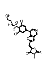 O=C1NC(=S)S/C1=C\c1cc2cncc(-c3cc(Cl)c(S(=O)(=O)NCCO)c(Cl)c3)c2o1